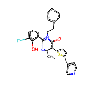 Cc1nc(-c2cccc(F)c2O)n(CCc2ccccc2)c(=O)c1-c1ccc(-c2ccncc2)s1